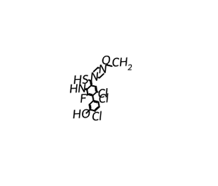 C=CC(=O)N1CCN(/C(S)=C2\C=C(Cl)C(c3cc(O)c(Cl)cc3Cl)=C(F)C2=N)CC1